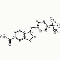 CNC(=O)c1ccc2c(c1)CCN2Cc1ccc(C(O)(C(F)(F)F)C(F)(F)F)cc1